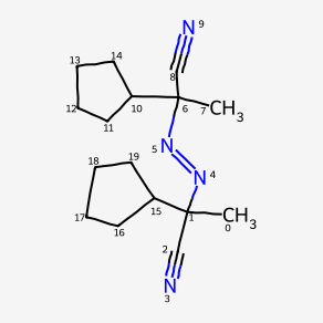 CC(C#N)(N=NC(C)(C#N)C1CCCC1)C1CCCC1